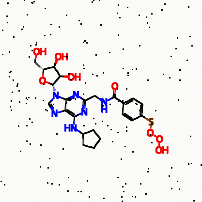 O=C(NCc1nc(NC2CCCC2)c2ncn([C@@H]3O[C@H](CO)[C@@H](O)[C@H]3O)c2n1)c1ccc(SOOO)cc1